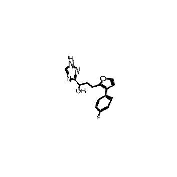 OC(CCc1occc1-c1ccc(F)cc1)c1nc[nH]n1